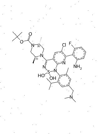 Cc1cc(CN(C)C)cc(C(C)C)c1N1c2nc(-c3c(N)cccc3F)c(Cl)cc2C(N2C[C@@H](C)N(C(=O)OC(C)(C)C)C[C@@H]2C)=NS1(O)O